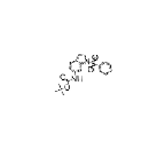 CC(C)(C)OC(=O)Nc1ccc2ccn(S(=O)(=O)c3ccccc3)c2c1